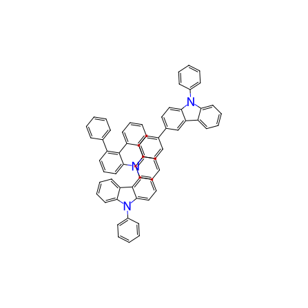 c1ccc(-c2ccccc2-c2c(-c3ccccc3)cccc2N(c2ccc(-c3ccc4c(c3)c3ccccc3n4-c3ccccc3)cc2)c2cccc3c2c2ccccc2n3-c2ccccc2)cc1